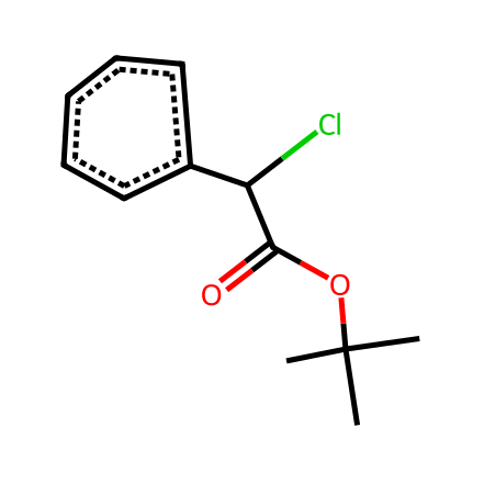 CC(C)(C)OC(=O)C(Cl)c1ccccc1